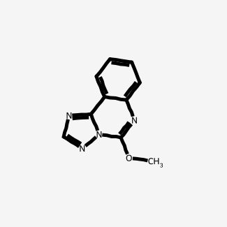 COc1nc2ccccc2c2ncnn12